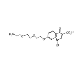 CCn1cc(C(=O)O)c(=O)c2ccc(OCCOCCOCCN)cc21